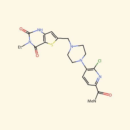 CCn1c(=O)[nH]c2cc(CN3CCN(c4ccc(C(=O)NC)nc4Cl)CC3)sc2c1=O